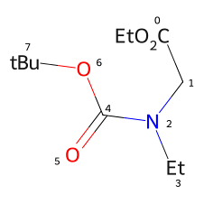 CCOC(=O)CN(CC)C(=O)OC(C)(C)C